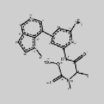 CC(C(=O)Nc1cc(-c2cncc3ccn(C)c23)cc(N)n1)N(C)C(=O)OC(C)(C)C